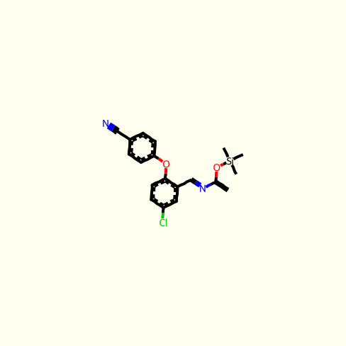 C=C(/N=C/c1cc(Cl)ccc1Oc1ccc(C#N)cc1)O[Si](C)(C)C